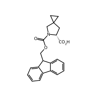 O=C(O)[C@H]1CC2(CC2)CN1C(=O)OCC1c2ccccc2-c2ccccc21